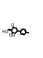 Cc1ccc(C2CC(=O)/C(=C/O)C(O)C2)cc1